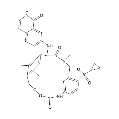 Cc1cc2cc(C)c1CCOC(=O)Nc1ccc(S(=O)(=O)C3CC3)c(c1)CN(C)C(=O)C2Nc1ccc2cc[nH]c(=O)c2c1